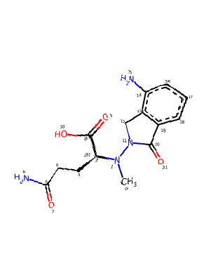 CN([C@@H](CCC(N)=O)C(=O)O)N1Cc2c(N)cccc2C1=O